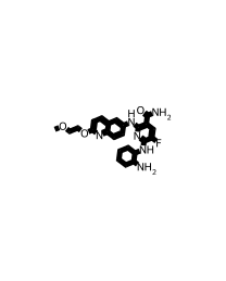 COCCOc1ccc2cc(Nc3nc(NC4CCCCC4N)c(F)cc3C(N)=O)ccc2n1